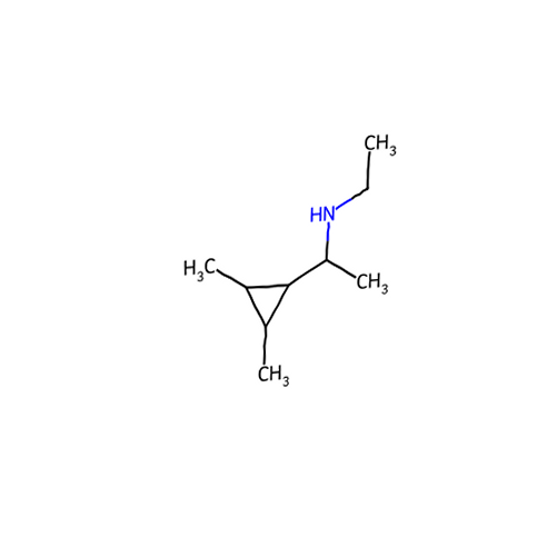 CCNC(C)C1C(C)C1C